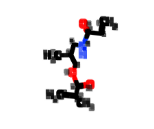 C=CC(=O)NCC(C)COC(=O)C(=C)C